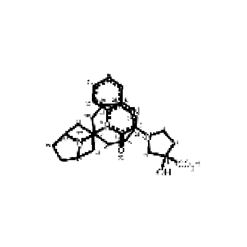 O=C(O)C1(O)CCN(c2nc3ccccc3n(C3CC4CCC(C3)N4C3CCCCCCC3)c2=O)C1